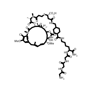 COc1cc2cc(c1Cl)N(C)C(=O)C[C@H](OC(=O)[C@H](C)N(C)C(=O)CCS[C@@H](CC(=O)NCC1CCC(C(=O)NCCCCC(NC(=O)CNC(=O)CNC(=O)CN)C(N)=O)CC1)C(=O)O)[C@]1(C)O[C@H]1[C@H](C)C1C[C@@](O)(NC(=O)O1)[C@H](OC)/C=C/C=C(\C)C2